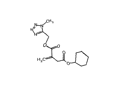 C=C(CC(=O)OC1CCCCC1)C(=O)OCc1nnnn1C